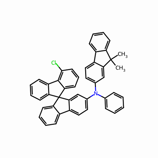 CC1(C)c2ccccc2-c2ccc(N(c3ccccc3)c3ccc4c(c3)C3(c5ccccc5-4)c4ccccc4-c4c(Cl)cccc43)cc21